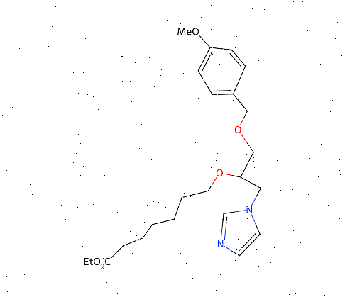 CCOC(=O)CCCCCCOC(COCc1ccc(OC)cc1)Cn1ccnc1